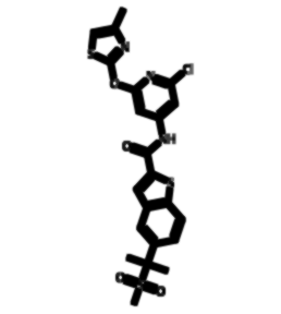 Cc1csc(Oc2cc(NC(=O)c3cc4cc(C(C)(C)S(C)(=O)=O)ccc4s3)cc(Cl)n2)n1